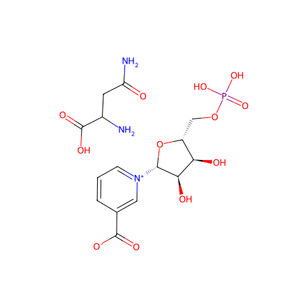 NC(=O)CC(N)C(=O)O.O=C([O-])c1ccc[n+]([C@@H]2O[C@H](COP(=O)(O)O)[C@@H](O)[C@H]2O)c1